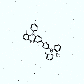 CCc1cccc(C)c1N(c1ccccc1)c1ccc(-c2ccc(N(c3ccccc3)c3c(C)cccc3CC)cc2)cc1